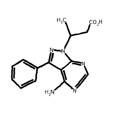 CC(CC(=O)O)n1nc(-c2ccccc2)c2c(N)ncnc21